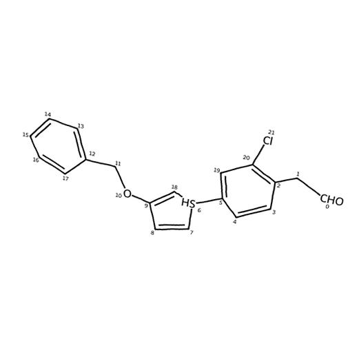 O=CCc1ccc([SH]2C=CC(OCc3ccccc3)=C2)cc1Cl